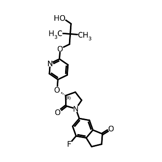 CC(C)(CO)COc1ccc(O[C@@H]2CCN(c3cc(F)c4c(c3)C(=O)CC4)C2=O)cn1